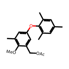 COc1c(C)cc(Oc2c(C)cc(C)cc2C)cc1COC(C)=O